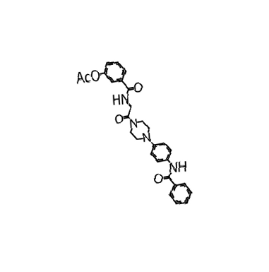 CC(=O)Oc1cccc(C(=O)NCC(=O)N2CCN(c3ccc(NC(=O)c4ccccc4)cc3)CC2)c1